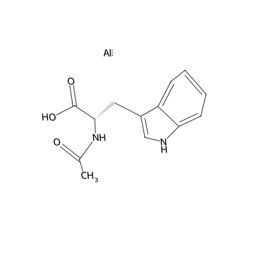 CC(=O)N[C@@H](Cc1c[nH]c2ccccc12)C(=O)O.[Al]